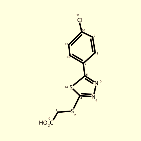 O=C(O)CSc1nnc(-c2ccc(Cl)cc2)s1